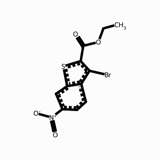 CCOC(=O)c1sc2cc([N+](=O)[O-])ccc2c1Br